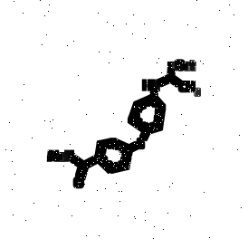 CCCCCCCCC(C)Nc1ccc(Sc2ccc(C(=O)NC)cc2)cc1